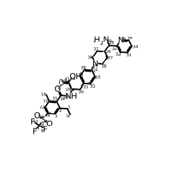 CCc1cc(S(=O)(=O)C(F)(F)F)cc(C)c1C(=O)NC(Cc1ccc(N2CCC(C(N)c3ccccn3)CC2)cc1)C(=O)O